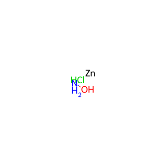 Cl.NO.[Zn]